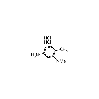 CNc1cc(N)ccc1C.Cl.Cl